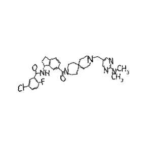 CN(C)c1ncc(CN2CCC3(CC2)CCN(C(=O)c2ccc4c(c2)C(NC(=O)c2cc(Cl)ccc2F)CC4)CC3)cn1